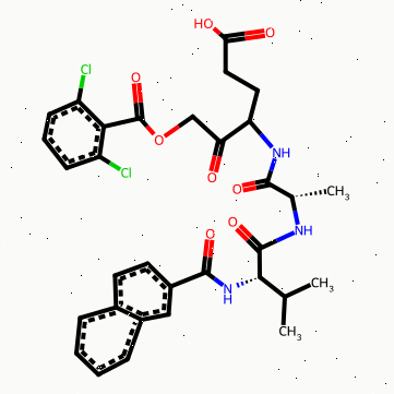 CC(C)[C@H](NC(=O)c1ccc2ccccc2c1)C(=O)N[C@@H](C)C(=O)NC(CCC(=O)O)C(=O)COC(=O)c1c(Cl)cccc1Cl